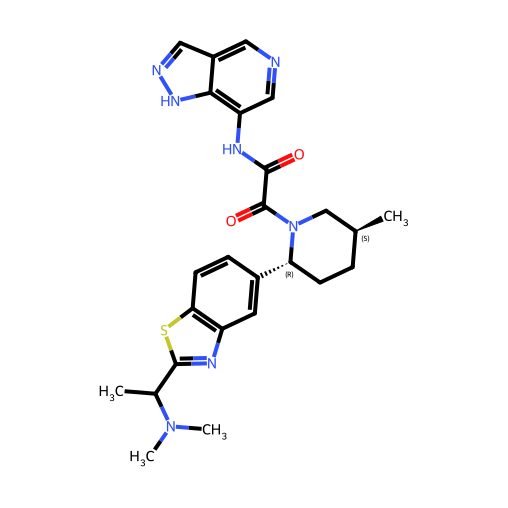 CC(c1nc2cc([C@H]3CC[C@H](C)CN3C(=O)C(=O)Nc3cncc4cn[nH]c34)ccc2s1)N(C)C